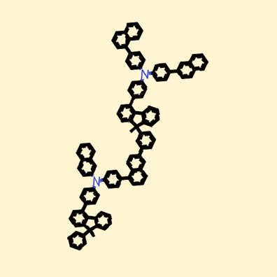 CC1(c2ccccc2)c2ccccc2-c2c(-c3ccc(N(c4ccc(-c5cccc6cc(-c7cccc(C8(C)c9ccccc9-c9c(-c%10ccc(N(c%11ccc(-c%12ccc%13ccccc%13c%12)cc%11)c%11ccc(-c%12cccc%13ccccc%12%13)cc%11)cc%10)cccc98)c7)ccc56)cc4)c4ccc5ccccc5c4)cc3)cccc21